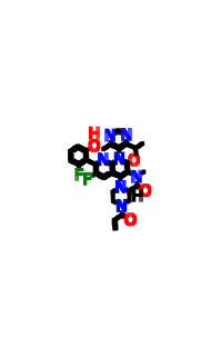 C=CC(=O)N1CCN2c3c(c(=O)n(-c4c(C)ncnc4C(C)C)c4nc(-c5c(O)cccc5F)c(F)cc34)N(C)C(=O)[C@H]2C1